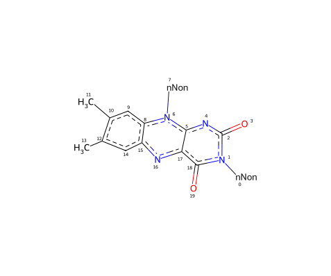 CCCCCCCCCn1c(=O)nc2n(CCCCCCCCC)c3cc(C)c(C)cc3nc-2c1=O